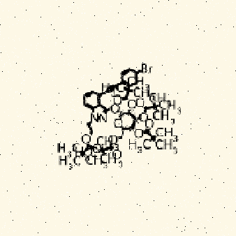 CC(C)(C)C(=O)OCCn1nc(O[C@@H]2O[C@H](COC(=O)C(C)(C)C)[C@@H](OC(=O)C(C)(C)C)[C@H](OC(=O)C(C)(C)C)[C@H]2OC(=O)C(C)(C)C)c2c(C#Cc3ccc(Br)cc3)cccc21